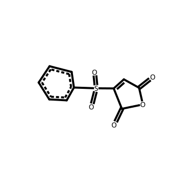 O=C1C=C(S(=O)(=O)c2ccccc2)C(=O)O1